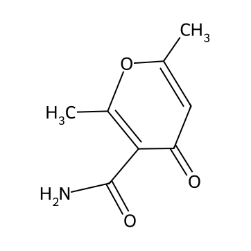 Cc1cc(=O)c(C(N)=O)c(C)o1